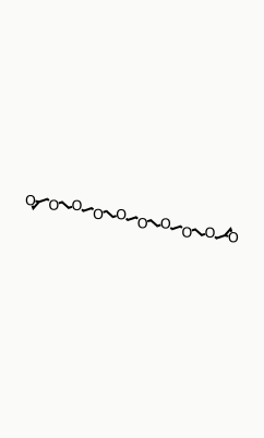 C(COCCOCCOCCOCC1CO1)OCCOCCOCCOCC1CO1